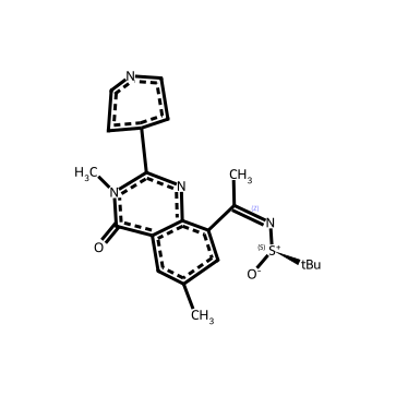 C/C(=N/[S@+]([O-])C(C)(C)C)c1cc(C)cc2c(=O)n(C)c(-c3ccncc3)nc12